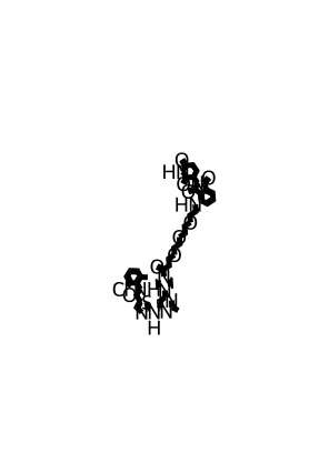 Cc1nc(Nc2ncc(C(=O)Nc3c(C)cccc3Cl)s2)cc(N2CCN(C(=O)CCOCCOCCOCCNc3cccc4c3C(=O)N(C3CCC(=O)NC3=O)C4=O)CC2)n1